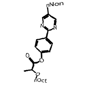 CCCCCCCCCc1cnc(-c2ccc(OC(=O)C(C)OCCCCCCCC)cc2)nc1